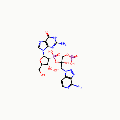 Nc1nc2c(ncn2[C@@H]2O[C@H](CO)[C@@H](O)[C@H]2P(=O)(O)O[C@](O)(CO[PH](=O)O)[C@@H](O)n2nnc3c(N)nccc32)c(=O)[nH]1